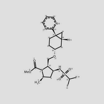 COC(=O)N1[C@H](C)C[C@H](NS(=O)(=O)C(F)F)[C@@H]1CO[C@@H]1CC[C@]2(c3ncccn3)C[C@@H]2C1